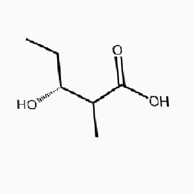 CC[C@@H](O)C(C)C(=O)O